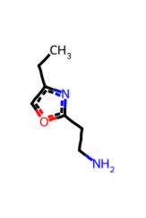 CCc1coc(CCN)n1